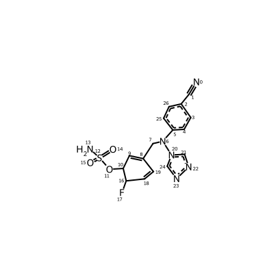 N#Cc1ccc(N(CC2=CC(OS(N)(=O)=O)C(F)C=C2)n2cnnc2)cc1